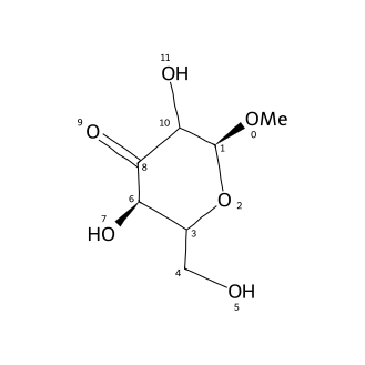 CO[C@H]1OC(CO)[C@@H](O)C(=O)C1O